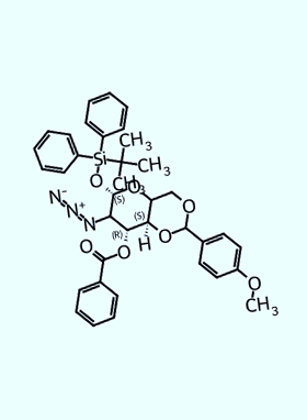 COc1ccc(C2OCC3O[C@@H](O[Si](c4ccccc4)(c4ccccc4)C(C)(C)C)C(N=[N+]=[N-])[C@@H](OC(=O)c4ccccc4)[C@@H]3O2)cc1